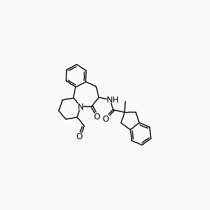 CC1(C(=O)NC2Cc3ccccc3C3CCCC(C=O)N3C2=O)Cc2ccccc2C1